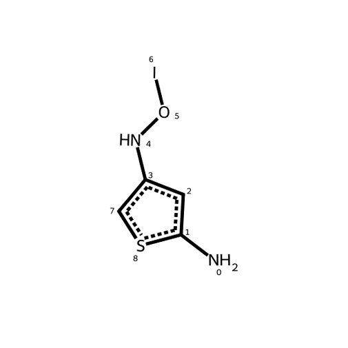 Nc1cc(NOI)cs1